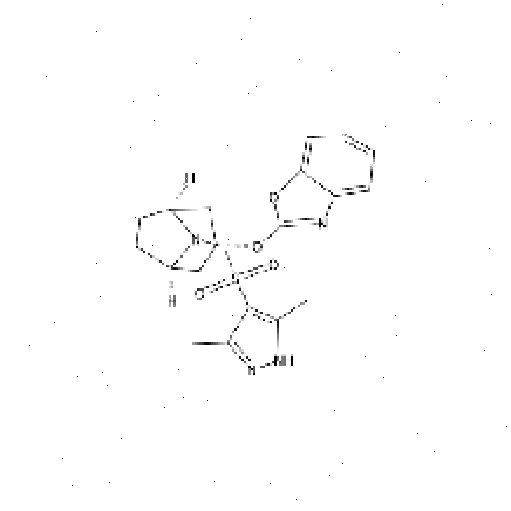 Cc1n[nH]c(C)c1S(=O)(=O)CN1[C@@H]2CC[C@H]1C[C@H](Oc1nc3ccccc3o1)C2